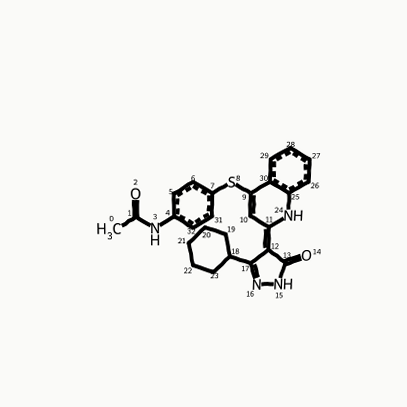 CC(=O)Nc1ccc(SC2=CC(=C3C(=O)NN=C3C3CCCCC3)Nc3ccccc32)cc1